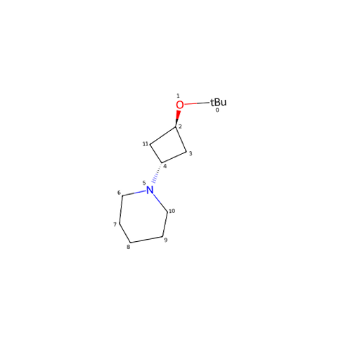 CC(C)(C)O[C@H]1C[C@H](N2CCCCC2)C1